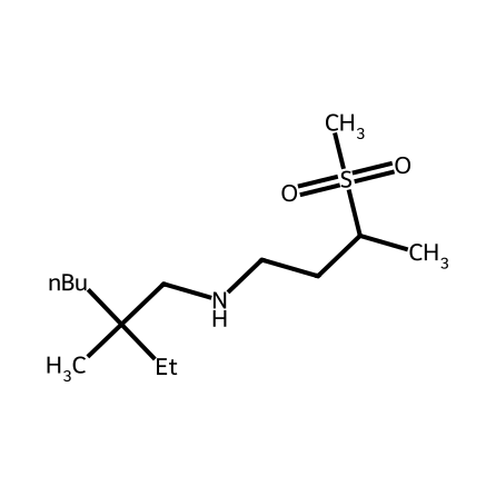 CCCCC(C)(CC)CNCCC(C)S(C)(=O)=O